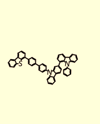 c1ccc(-n2c3ccccc3c3cccc(-c4ccc5c6ccccc6n(-c6ccc(-c7ccc(-c8cccc9c8sc8ccccc89)cc7)cc6)c5c4)c32)cc1